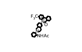 CC(=O)Nc1ccccc1N1CCc2cc(NC(=O)c3ccccc3-c3ccc(C(F)(F)F)cc3)ccc2C1